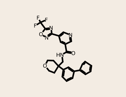 O=C(NCC1(c2cccc(-c3ccccc3)c2)CCOCC1)c1cncc(-c2noc(C(F)(F)F)n2)c1